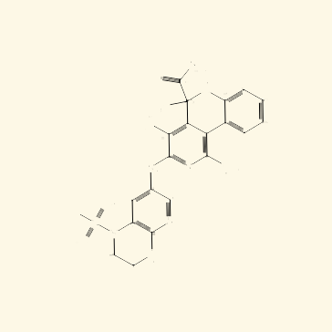 Cc1nc(Nc2cnc3c(c2)N(S(C)(=O)=O)CCO3)c(C)c2c1-c1ccccc1OC2(C)C(N)=O